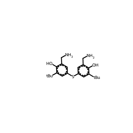 CC(C)(C)c1cc(Sc2cc(CN)c(O)c(C(C)(C)C)c2)cc(CN)c1O